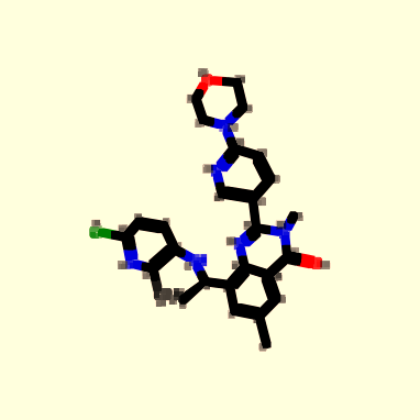 Cc1cc([C@@H](C)Nc2ccc(Cl)nc2C(=O)O)c2nc(-c3ccc(N4CCOCC4)nc3)n(C)c(=O)c2c1